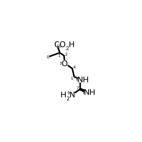 CC(COCCNC(=N)N)C(=O)O